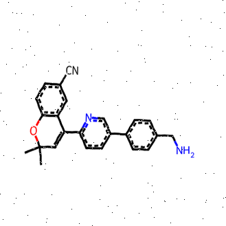 CC1(C)C=C(c2ccc(-c3ccc(CN)cc3)cn2)c2cc(C#N)ccc2O1